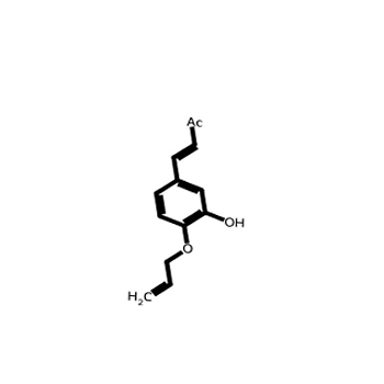 C=CCOc1ccc(/C=C/C(C)=O)cc1O